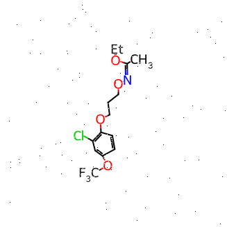 CCOC(C)=NOCCCOc1ccc(OC(F)(F)F)cc1Cl